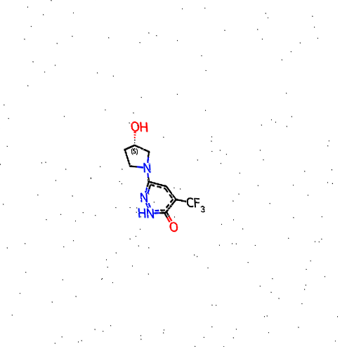 O=c1[nH]nc(N2CC[C@H](O)C2)cc1C(F)(F)F